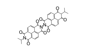 CC(C)C1C(=O)c2ccc3c4c(ccc(c24)C1=O)C(=O)N(N1C(=O)c2ccc4c5c(ccc(c25)C1=O)C(=O)N(C(C)C)C4=O)C3=O